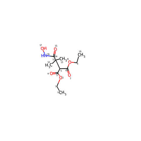 CCOC(=O)C(C(=O)OCC)C(C)(C)C(=O)NO